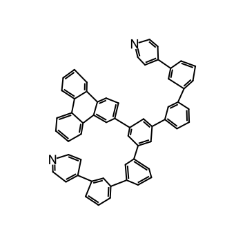 c1cc(-c2ccncc2)cc(-c2cccc(-c3cc(-c4cccc(-c5cccc(-c6ccncc6)c5)c4)cc(-c4ccc5c6ccccc6c6ccccc6c5c4)c3)c2)c1